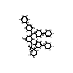 CC1C=C2C3B(C4=C5C(CC(C6CCCCC6)=C4)C4(CCCCC4)C(C)(C)N25)C2CC(C4C=CCCC4)CCC2N(C2C=CC(C4C=CC=CC4)CC2)C3C1